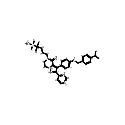 CC(C)c1ccc(COc2ccc(-c3c(-c4ccncn4)nn4c3C(=O)N(CCCC(C)(C)[Si](C)(C)O)CC4)cc2)cc1